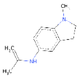 C=C(C)Nc1ccc2c(c1)CCN2C